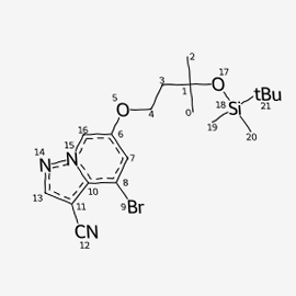 CC(C)(CCOc1cc(Br)c2c(C#N)cnn2c1)O[Si](C)(C)C(C)(C)C